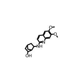 COc1cc2ccc(NC3CC4CC(O)C3C4)nc2cc1OC